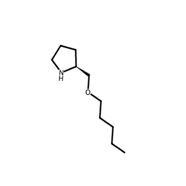 CCCCCOC[C@@H]1CCCN1